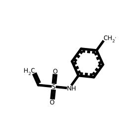 [CH2]c1ccc(NS(=O)(=O)C=C)cc1